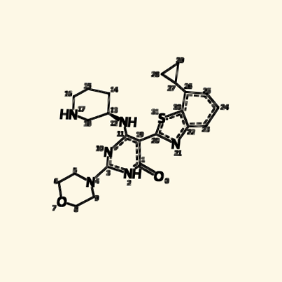 O=c1[nH]c(N2CCOCC2)nc(N[C@@H]2CCCNC2)c1-c1nc2cccc(C3CC3)c2s1